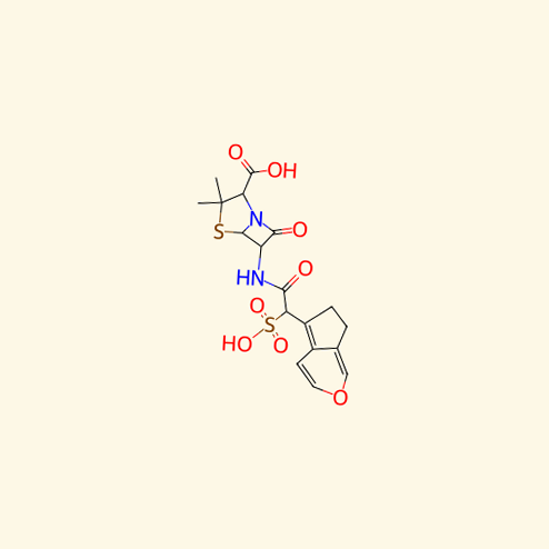 CC1(C)SC2C(NC(=O)C(C3=C4C=COC=C4CC3)S(=O)(=O)O)C(=O)N2C1C(=O)O